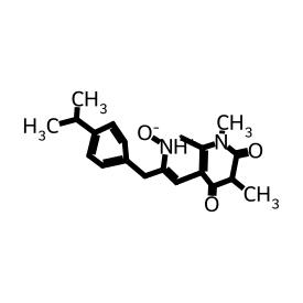 CC1C(=O)C2=C(C[NH+]([O-])C(Cc3ccc(C(C)C)cc3)=C2)N(C)C1=O